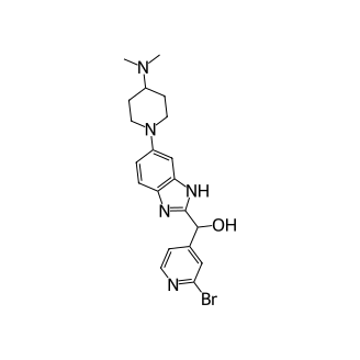 CN(C)C1CCN(c2ccc3nc(C(O)c4ccnc(Br)c4)[nH]c3c2)CC1